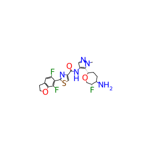 Cn1ncc(NC(=O)c2csc(-c3c(F)cc4c(c3F)OCC4)n2)c1[C@@H]1CC[C@@H](N)[C@H](F)CO1